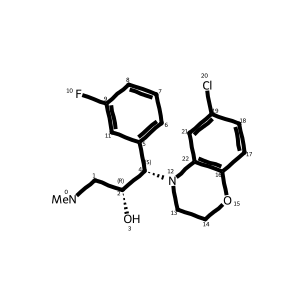 CNC[C@@H](O)[C@H](c1cccc(F)c1)N1CCOc2ccc(Cl)cc21